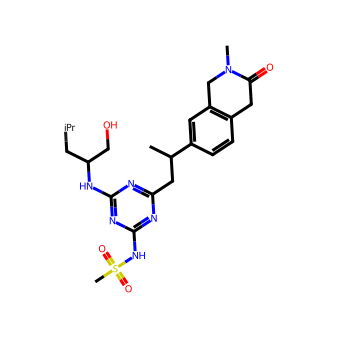 CC(C)CC(CO)Nc1nc(CC(C)c2ccc3c(c2)CN(C)C(=O)C3)nc(NS(C)(=O)=O)n1